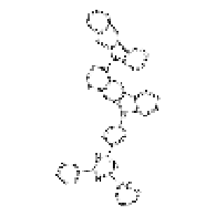 c1ccc(-c2nc(-c3ccccc3)nc(-c3ccc(-n4c5ccccc5c5cc6c(-n7c8ccccc8c8cc9ccccc9cc87)cccc6cc54)cc3)n2)cc1